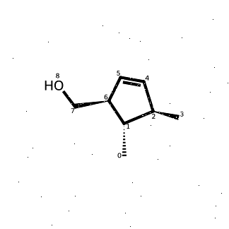 C[C@H]1[C@H](C)C=C[C@@H]1CO